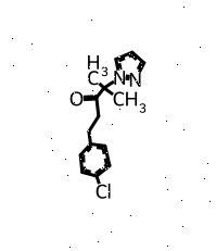 CC(C)(C(=O)CCc1ccc(Cl)cc1)n1cccn1